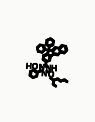 CCCCC(CC)COC1N=C(C2=C(O)C=CCC2)N=C(c2ccc3c(c2)-c2cc4ccccc4cc2C3(C2=CCCC=C2)C2=CCCCC2)N1